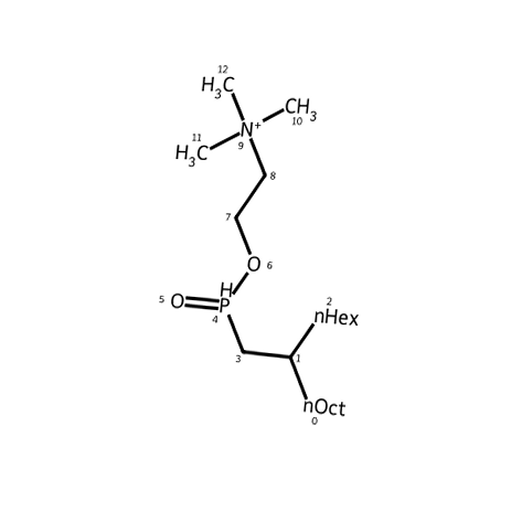 CCCCCCCCC(CCCCCC)C[PH](=O)OCC[N+](C)(C)C